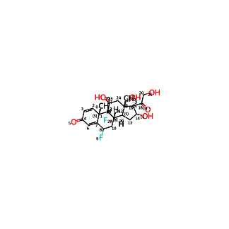 C[C@]12C=CC(=O)C=C1C(F)C[C@H]1[C@@H]3CC(O)[C@](O)(C(=O)CO)[C@@]3(C)C[C@H](O)[C@@]12F